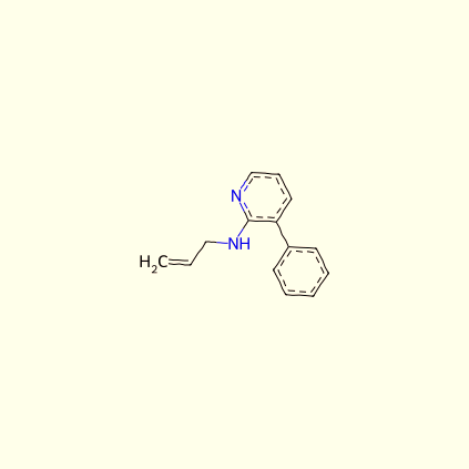 C=CCNc1ncccc1-c1ccccc1